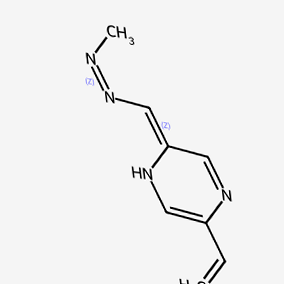 C=CC1=CN/C(=C\N=N/C)C=N1